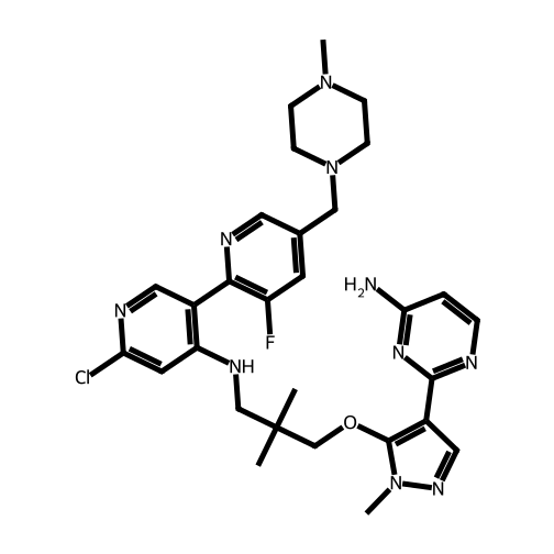 CN1CCN(Cc2cnc(-c3cnc(Cl)cc3NCC(C)(C)COc3c(-c4nccc(N)n4)cnn3C)c(F)c2)CC1